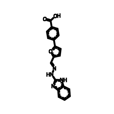 O=C(O)c1ccc(-c2ccc(/C=N/Nc3nc4ccccc4[nH]3)o2)cc1